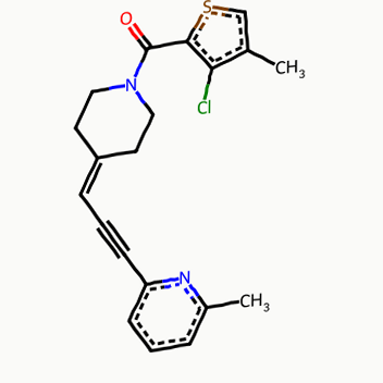 Cc1cccc(C#CC=C2CCN(C(=O)c3scc(C)c3Cl)CC2)n1